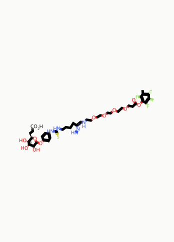 Cc1c(F)c(F)c(F)c(OC(=O)CCOCCOCCOCCOCCN/C=C(/CCCCNC(=S)Nc2ccc(OC3O[C@H](CCC(=O)O)[C@@H](O)[C@H](O)[C@@H]3O)cc2)N=N)c1F